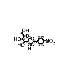 O=C(OC1OC(CO)C(O)C(O)C1O)c1ccc([N+](=O)[O-])cc1